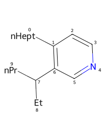 CCCCCCCc1ccncc1C(CC)CCC